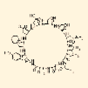 CC(C)C[C@H]1NCC(=O)NCC(N)C(=O)NNC(Cc2ccc(O)cc2)C(=O)N[C@@H](Cc2ccccc2)C(=O)NC(CC(=O)O)C(=O)N[C@@H](CC(=O)O)C(=O)NC(CO)C(=O)N[C@@H](CO)C(=O)NC(CC(N)=O)C(=O)N[C@@H](C(C)C)C(=O)C1=O